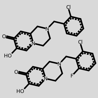 O=c1cc2n(cc1O)CCN(Cc1c(F)cccc1Cl)C2.O=c1cc2n(cc1O)CCN(Cc1ccccc1Cl)C2